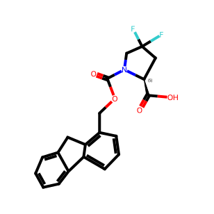 O=C(O)[C@@H]1CC(F)(F)CN1C(=O)OCc1cccc2c1Cc1ccccc1-2